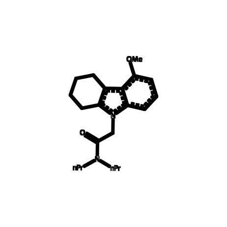 CCCN(CCC)C(=O)Cn1c2c(c3c(OC)cccc31)CCCC2